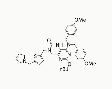 CCCCOc1nc2c(c(N(Cc3ccc(OC)cc3)Cc3ccc(OC)cc3)n1)NC(=O)N(Cc1ccc(CN3CCCC3)s1)C2